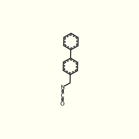 O=C=NCc1ccc(-c2ccccc2)cc1